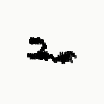 COc1cc(O[C@@H]2C(C)(C)[C@@H](NC(=O)c3ccc(N4CCC5(CC4)CN([C@H]4C[C@H](Oc6ccc(C(=O)N[C@H]7CCC(=O)NC7=O)c(OC)c6)C4)CCO5)cc3)C2(C)CN2C(=O)CC[C@H](NC(=O)c3ccc(O[C@H]4C[C@H](N5CCOC6(CCN(c7ccc(C(=O)N[C@H]8C(C)(C)[C@H](Oc9cc(C)c(C#N)c(C)c9)C8(C)C)cc7)CC6)C5)C4)cc3OC)C2=O)ccc1C#N